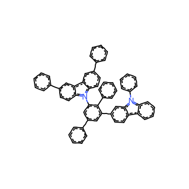 c1ccc(-c2cc(-c3ccc4c5ccccc5n(-c5ccccc5)c4c3)c(-c3ccccc3)c(-n3c4ccc(-c5ccccc5)cc4c4cc(-c5ccccc5)ccc43)c2)cc1